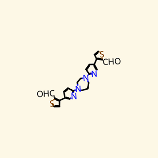 O=Cc1sccc1-c1ccc(N2CCCN(c3ccc(-c4ccsc4C=O)cn3)CC2)nc1